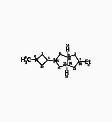 CC[C@@H]1C[C@@H]2CN(C3CN(C)C3)C[C@@H]2C1